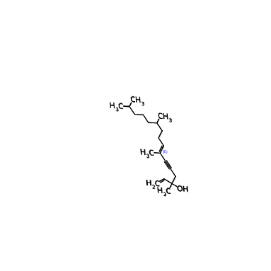 C=CC(C)(O)CC#C/C(C)=C/CCC(C)CCCC(C)C